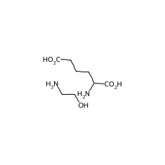 NC(CCCC(=O)O)C(=O)O.NCCO